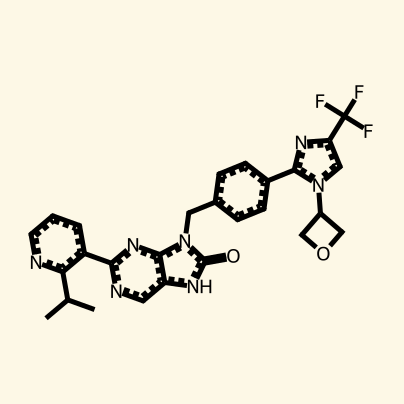 CC(C)c1ncccc1-c1ncc2[nH]c(=O)n(Cc3ccc(-c4nc(C(F)(F)F)cn4C4COC4)cc3)c2n1